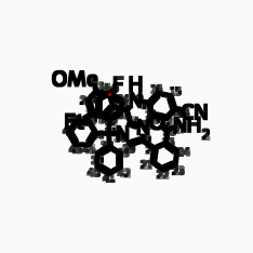 CCc1cc(OC)c(F)c(C(Nc2ccc(C#N)cc2)c2nc(-c3ccccc3C(N)=O)cn2C(c2ccccc2)(c2ccccc2)c2ccccc2)c1